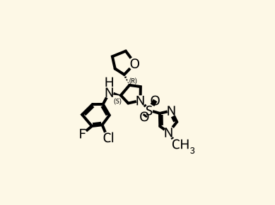 Cn1cnc(S(=O)(=O)N2C[C@@H](Nc3ccc(F)c(Cl)c3)[C@H](C3CCCO3)C2)c1